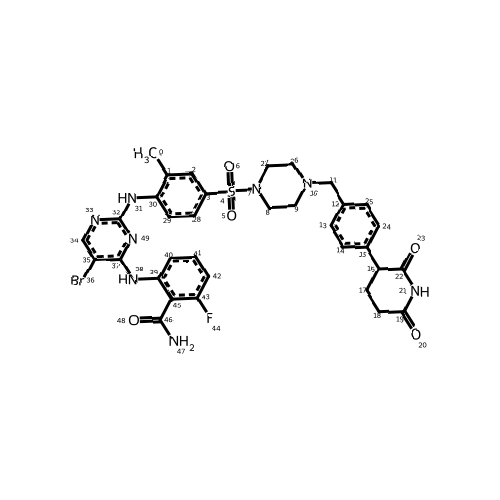 Cc1cc(S(=O)(=O)N2CCN(Cc3ccc(C4CCC(=O)NC4=O)cc3)CC2)ccc1Nc1ncc(Br)c(Nc2cccc(F)c2C(N)=O)n1